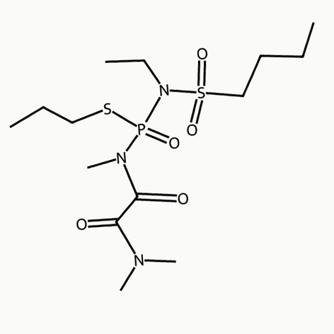 CCCCS(=O)(=O)N(CC)P(=O)(SCCC)N(C)C(=O)C(=O)N(C)C